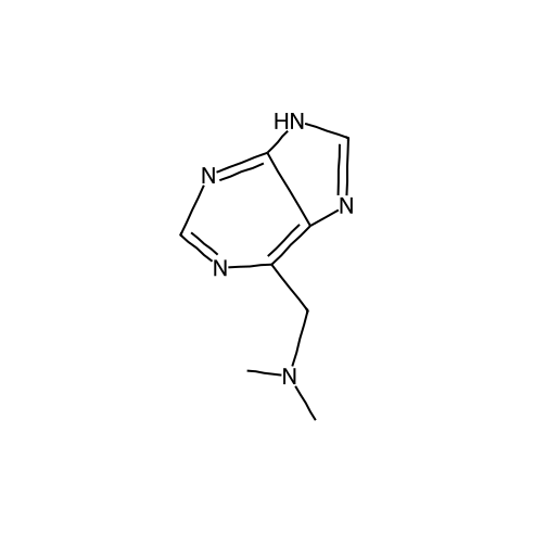 CN(C)Cc1ncnc2[nH]cnc12